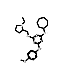 CCN1CCCC1CNc1nc(Nc2ccc(SC)cc2)nc(NC2CCCCCC2)n1